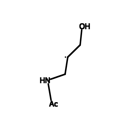 CC(=O)NC[CH]CO